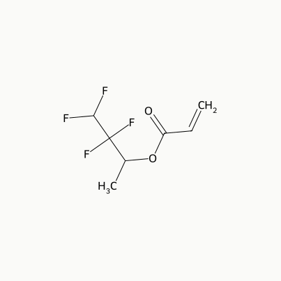 C=CC(=O)OC(C)C(F)(F)C(F)F